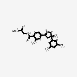 COC(=O)CNC(=O)c1ccc(C2=NCC(c3cc(C(F)(F)F)cc(C(F)(F)F)c3)(C(F)(F)F)C2)cc1C(F)(F)F